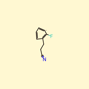 N#CCCc1ccc[c]c1F